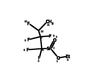 CC[O][Sn](=[O])[C](F)(F)C(F)(F)C(C)F